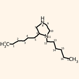 CCCCCCC1CNCCN1CCCCCC